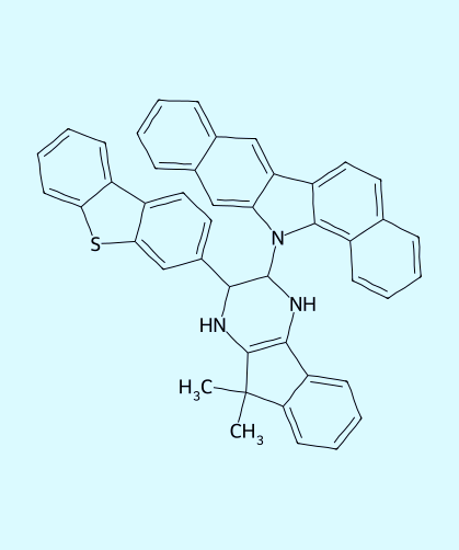 CC1(C)C2=C(NC(n3c4cc5ccccc5cc4c4ccc5ccccc5c43)C(c3ccc4c(c3)sc3ccccc34)N2)c2ccccc21